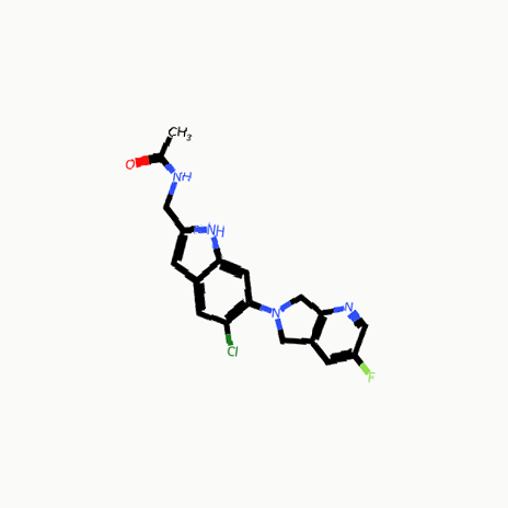 CC(=O)NCc1cc2cc(Cl)c(N3Cc4cc(F)cnc4C3)cc2[nH]1